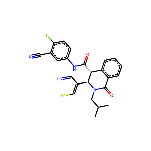 CC(C)CN1C(=O)c2ccccc2[C@@H](C(=O)Nc2ccc(F)c(C#N)c2)[C@@H]1/C(C=N)=C/S